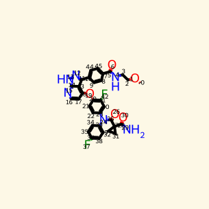 COCCNC(=O)c1ccc(-c2n[nH]c3nccc(Oc4ccc(N(C(=O)C5(C(N)=O)CC5)c5ccc(F)cc5)cc4F)c23)cc1